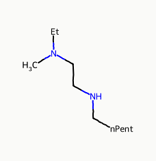 CCCCCCNCCN(C)CC